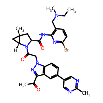 CCN(C)Cc1ccc(Br)nc1NC(=O)[C@@H]1C[C@@]2(C)C[C@H]2N1C(=O)Cn1nc(C(C)=O)c2cc(-c3cnc(C)nc3)ccc21